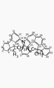 CC1(C)c2ccccc2-c2cccc(-n3c4ccccc4c4c5c6c(ccc5ccc43)-c3ccccc3C6(C)C)c21